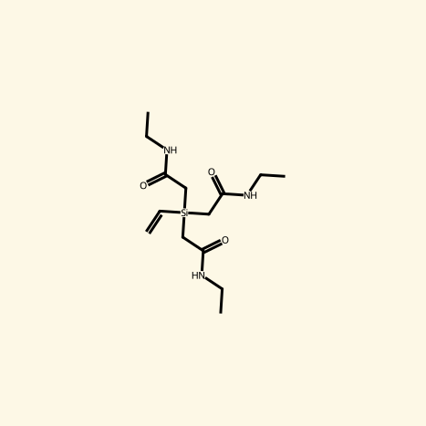 C=C[Si](CC(=O)NCC)(CC(=O)NCC)CC(=O)NCC